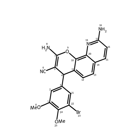 COc1cc(C2C(C#N)=C(N)Oc3c2ccc2ccc(N)nc32)cc(Br)c1OC